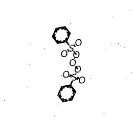 O=S(=O)(OOOS(=O)(=O)c1ccccc1)c1ccccc1